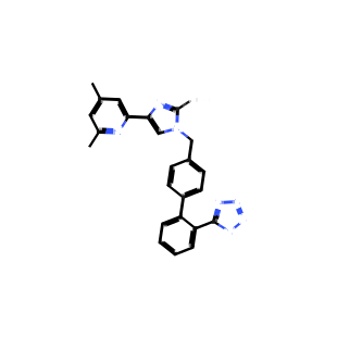 CCCCc1nc(-c2cc(C)cc(C)n2)cn1Cc1ccc(-c2ccccc2-c2nnn[nH]2)cc1